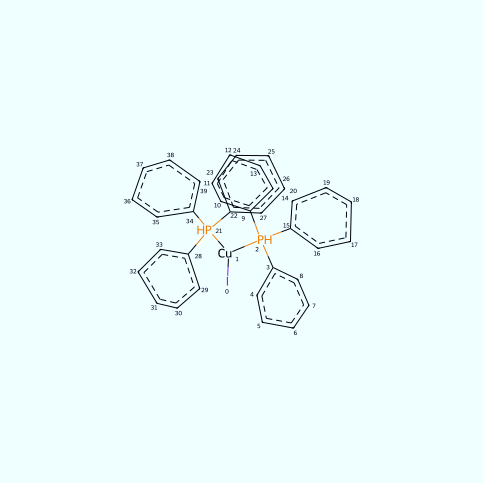 [I][Cu]([PH](c1ccccc1)(c1ccccc1)c1ccccc1)[PH](c1ccccc1)(c1ccccc1)c1ccccc1